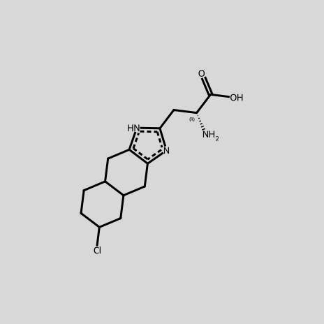 N[C@H](Cc1nc2c([nH]1)CC1CCC(Cl)CC1C2)C(=O)O